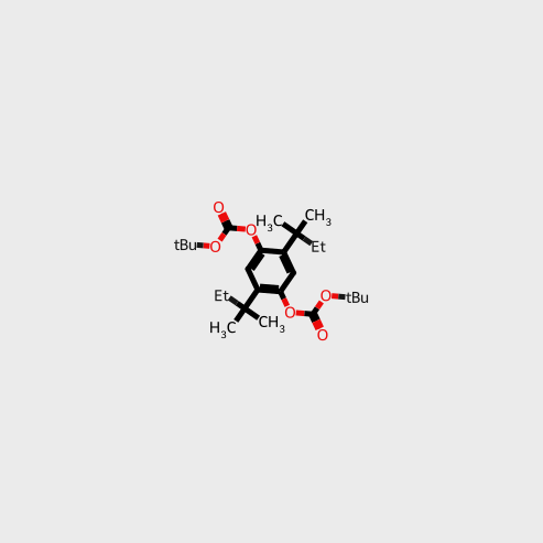 CCC(C)(C)c1cc(OC(=O)OC(C)(C)C)c(C(C)(C)CC)cc1OC(=O)OC(C)(C)C